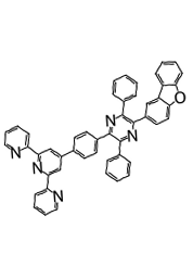 c1ccc(-c2nc(-c3ccc4oc5ccccc5c4c3)c(-c3ccccc3)nc2-c2ccc(-c3cc(-c4ccccn4)nc(-c4ccccn4)c3)cc2)cc1